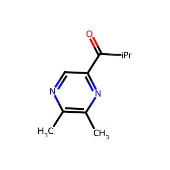 Cc1ncc(C(=O)C(C)C)nc1C